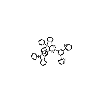 c1ccc(-n2c3ccccc3c3cc(-c4nc(-c5cc(-c6ccccn6)cc(-c6ccccn6)c5)nc5c4C(c4ccccc4)(c4ccccc4)c4ccccc4-5)ccc32)cc1